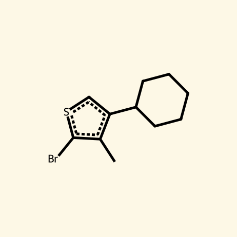 Cc1c(C2CCCCC2)csc1Br